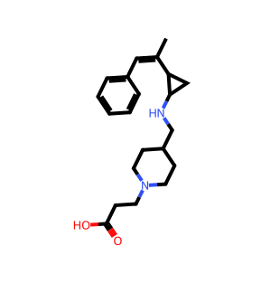 CC(=Cc1ccccc1)C1CC1NCC1CCN(CCC(=O)O)CC1